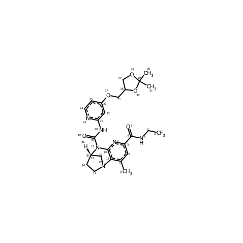 Cc1cc(C(=O)NCC(F)(F)F)nc2c1N1CC[C@@H](C1)N2C(=O)Nc1cc(OCC2COC(C)(C)O2)ccn1